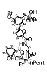 CCCCC[C@@H](C(=O)NCNC(=O)c1ccc(-c2cc(CP(=O)(O)O)cc(OCC)c2)o1)[C@@H](CC)N(C=O)OCc1ccccc1